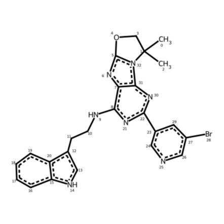 CC1(C)COc2nc3c(NCCc4c[nH]c5ccccc45)nc(-c4cncc(Br)c4)nc3n21